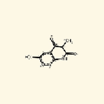 Cc1cc2c(nn1)NC(=O)C(C)C2=O